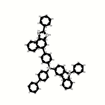 c1ccc(-c2ccc(N(c3ccc(-c4cc5oc(-c6ccccc6)nc5c5ccccc45)cc3)c3ccc4c(c3)c3ccccc3n4-c3ccccc3)cc2)cc1